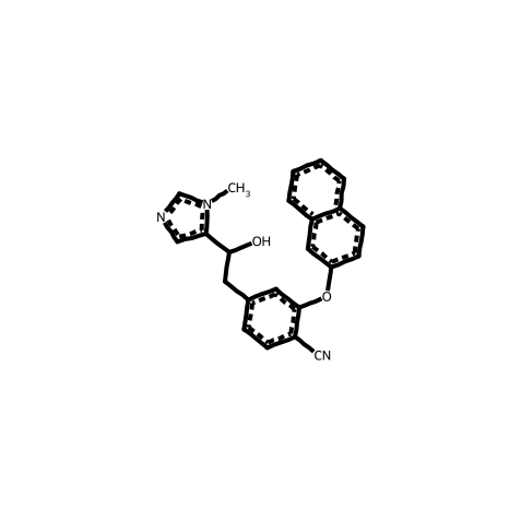 Cn1cncc1C(O)Cc1ccc(C#N)c(Oc2ccc3ccccc3c2)c1